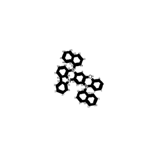 c1ccc2c(c1)Oc1cc3c(cc1B2c1cccc2ccccc12)-n1c2ccccc2c2cccc(c21)B3c1cccc2ccccc12